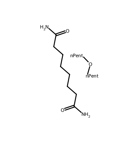 CCCCCOCCCCC.NC(=O)CCCCCCC(N)=O